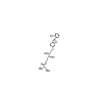 CCc1ccccc1-c1cc2ccc(CCCC(O)C(O)CCCOC(=O)C(CC(C)(C)C)C(C)(C)C)cc2o1